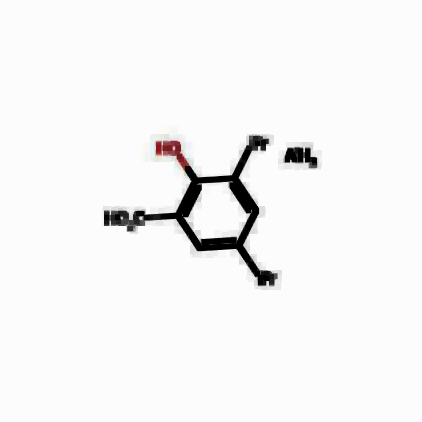 CC(C)c1cc(C(=O)O)c(O)c(C(C)C)c1.[AlH3]